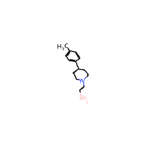 BCCN1CCC(c2ccc(C)cc2)CC1